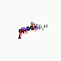 Cc1c(C(=O)Nc2ccc(-c3ccc(S(=O)(=O)NC(C(=O)O)C(C)C)cc3)cc2)oc2cccc(OCC3CC3)c12